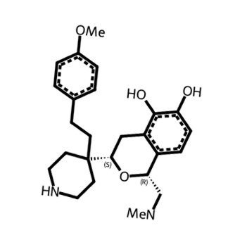 CNC[C@@H]1O[C@H](C2(CCc3ccc(OC)cc3)CCNCC2)Cc2c1ccc(O)c2O